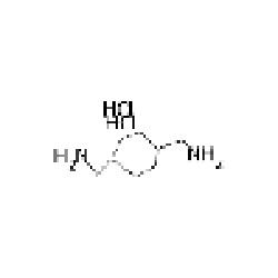 Cl.Cl.NCC1CCC(CN)CC1